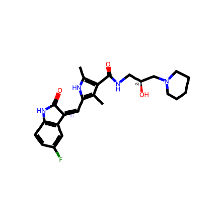 Cc1[nH]c(/C=C2\C(=O)Nc3ccc(F)cc32)c(C)c1C(=O)NC[C@H](O)CN1CCCCC1